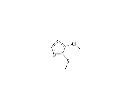 COc1ccsc1SC